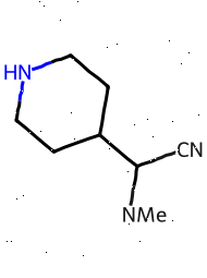 CNC(C#N)C1CCNCC1